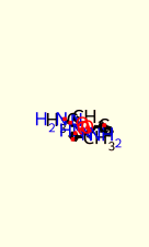 CN(C)C(=O)[C@H](CCCCN)NC(=O)[C@@H](Cc1ccccc1)N(C)C(=O)[C@H](N)Cc1ccc2ccccc2c1